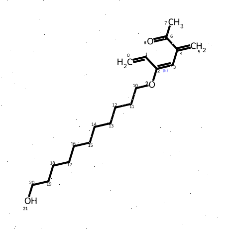 C=C/C(=C\C(=C)C(C)=O)OCCCCCCCCCCCO